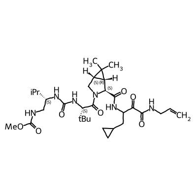 C=CCNC(=O)C(=O)C(CC1CC1)NC(=O)[C@@H]1[C@@H]2[C@H](CN1C(=O)[C@@H](NC(=O)N[C@H](CNC(=O)OC)C(C)C)C(C)(C)C)C2(C)C